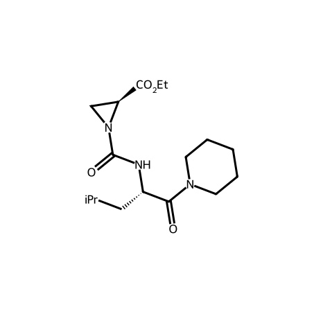 CCOC(=O)[C@@H]1CN1C(=O)N[C@@H](CC(C)C)C(=O)N1CCCCC1